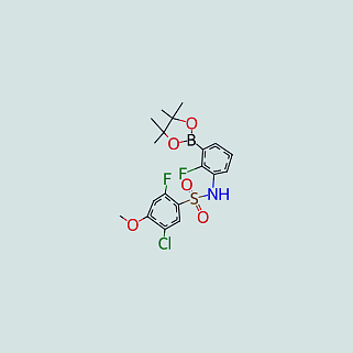 COc1cc(F)c(S(=O)(=O)Nc2cccc(B3OC(C)(C)C(C)(C)O3)c2F)cc1Cl